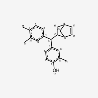 Cc1ccc(C(c2ccc(O)c(C)c2)C2CC3C=CC2C3)cc1C